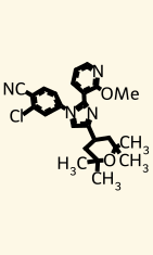 COc1ncccc1-c1nc(C2CC(C)(C)OC(C)(C)C2)cn1-c1ccc(C#N)c(Cl)c1